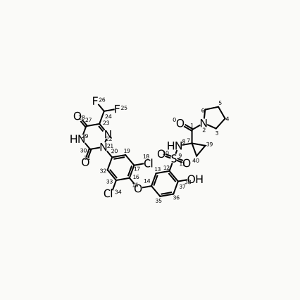 O=C(N1CCCC1)C1(NS(=O)(=O)c2cc(Oc3c(Cl)cc(-n4nc(C(F)F)c(=O)[nH]c4=O)cc3Cl)ccc2O)CC1